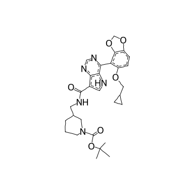 CC(C)(C)OC(=O)N1CCCC(CNC(=O)c2c[nH]c3c(-c4c(OCC5CC5)ccc5c4OCO5)ncnc23)C1